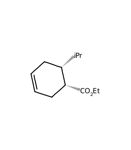 CCOC(=O)[C@@H]1CC=CC[C@@H]1C(C)C